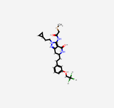 CSCC(=O)Nc1c2c(nn1CCC1CC1)CC(CCc1cccc(OCC(F)(F)F)c1)NC2=O